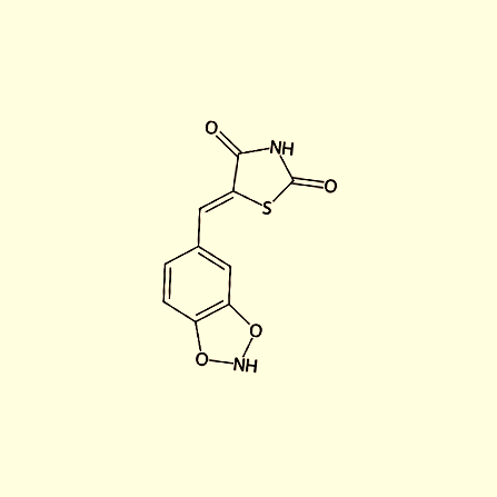 O=C1NC(=O)C(=Cc2ccc3c(c2)ONO3)S1